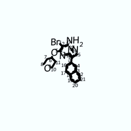 Nc1c(Br)c(OC2CCOCC2)nc2c(-c3ccc4ccccc4c3)cnn12